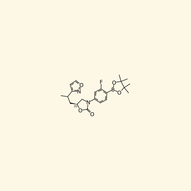 CC(C[C@H]1CN(c2ccc(B3OC(C)(C)C(C)(C)O3)c(F)c2)C(=O)O1)c1ccon1